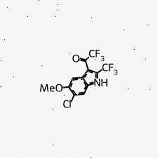 COc1cc2c(C(=O)C(F)(F)F)c(C(F)(F)F)[nH]c2cc1Cl